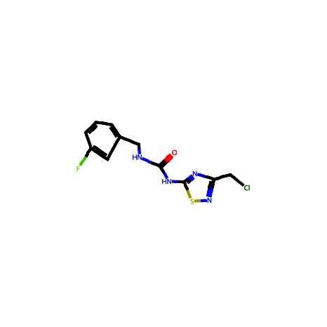 O=C(NCc1cccc(F)c1)Nc1nc(CCl)ns1